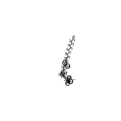 CCCCCCCCCCCCOC(=O)CCC[N+](C)(C)CCCS(=O)(=O)[O-]